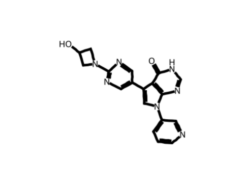 O=c1[nH]cnc2c1c(-c1cnc(N3CC(O)C3)nc1)cn2-c1cccnc1